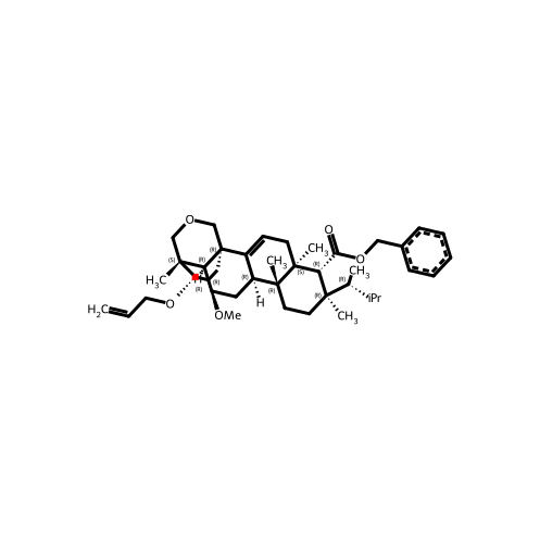 C=CCO[C@H]1[C@H](OC)C[C@@]23COC[C@]1(C)[C@@H]2CC[C@H]1C3=CC[C@@]2(C)[C@H](C(=O)OCc3ccccc3)[C@@](C)([C@H](C)C(C)C)CC[C@]12C